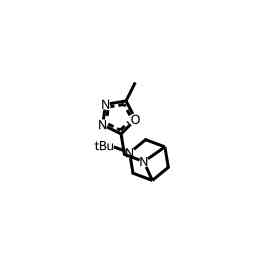 Cc1nnc(CN2C3CC2CN(C(C)(C)C)C3)o1